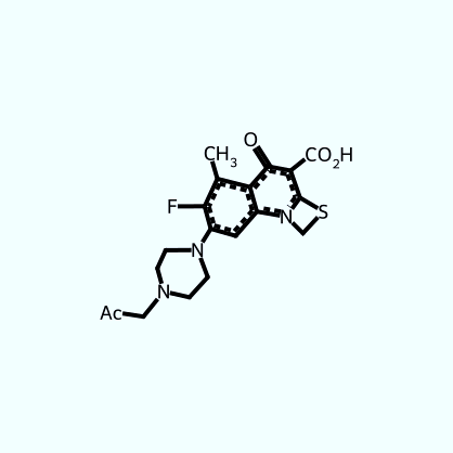 CC(=O)CN1CCN(c2cc3c(c(C)c2F)c(=O)c(C(=O)O)c2n3CS2)CC1